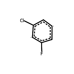 Fc1[c]c(Cl)c[c]c1